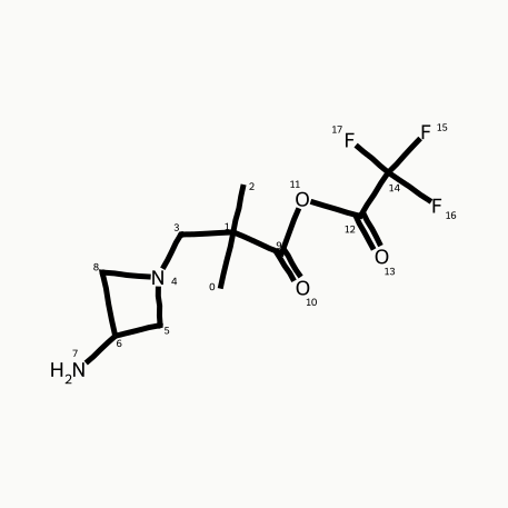 CC(C)(CN1CC(N)C1)C(=O)OC(=O)C(F)(F)F